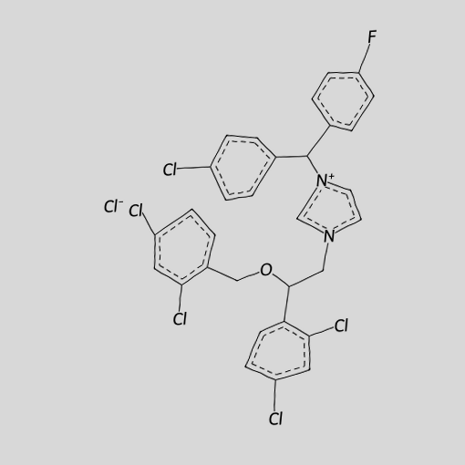 Fc1ccc(C(c2ccc(Cl)cc2)[n+]2ccn(CC(OCc3ccc(Cl)cc3Cl)c3ccc(Cl)cc3Cl)c2)cc1.[Cl-]